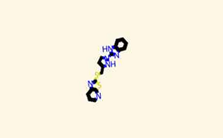 C1=C(CSc2nc3cccnc3s2)NN(c2nc3ccccc3[nH]2)C1